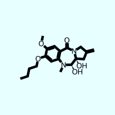 C=C1CN2C(=O)c3cc(OC)c(OCCCC)cc3N(C)[C@@H](O)[C@]2(O)C1